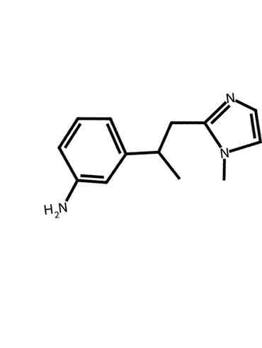 CC(Cc1nccn1C)c1cccc(N)c1